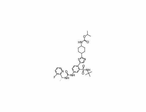 CC(C)OC(=O)NC1CCC(c2ncc(-c3ccc(NC(=O)N[C@H](C)c4ncccc4F)cc3S(=O)(=O)NC(C)(C)C)s2)CC1